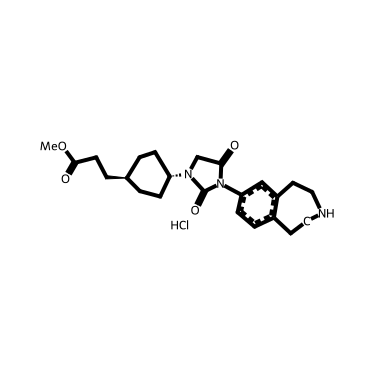 COC(=O)CC[C@H]1CC[C@H](N2CC(=O)N(c3ccc4c(c3)CCNCC4)C2=O)CC1.Cl